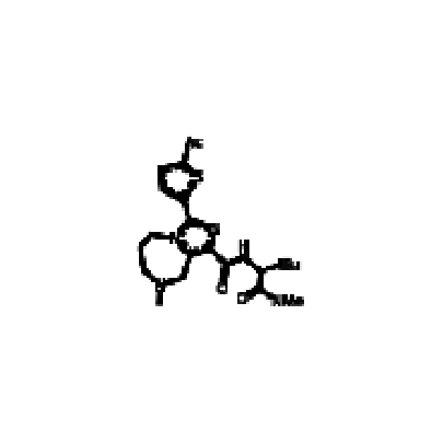 CNC(=O)[C@@H](NC(=O)c1nc(-c2ccc(C(C)=O)s2)n2c1CN(C)CCC2)C(C)(C)C